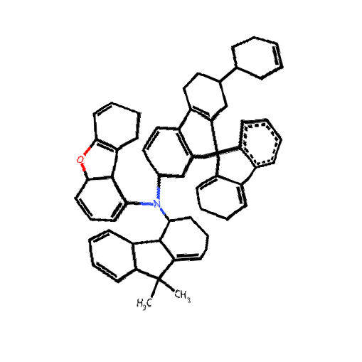 CC1(C)C2=CCCC(N(C3=CC=CC4OC5=C(CCC=C5)C34)C3C=CC4=C(C3)C3(C5=CCCC=C5c5ccccc53)C3=C4CCC(C4CC=CCC4)C3)C2C2C=CC=CC21